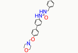 O=C(NCc1ccccc1)Nc1ccc(-c2ccc(OCN3CCOCC3)cc2)cc1